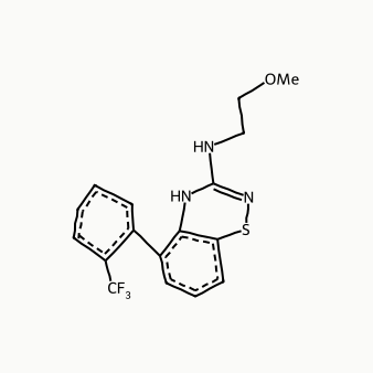 COCCNC1=NSc2cccc(-c3ccccc3C(F)(F)F)c2N1